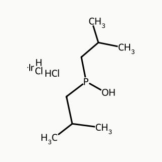 CC(C)CP(O)CC(C)C.Cl.Cl.[Ir]